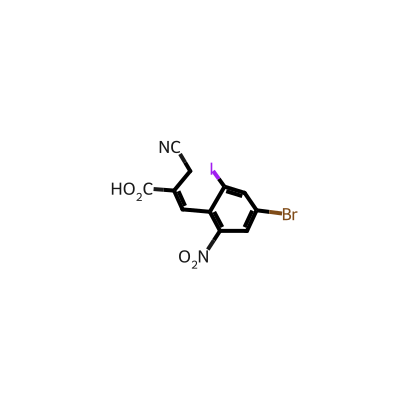 N#CC/C(=C\c1c(I)cc(Br)cc1[N+](=O)[O-])C(=O)O